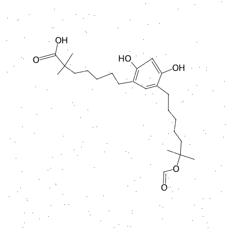 CC(C)(CCCCCc1cc(CCCCCC(C)(C)C(=O)O)c(O)cc1O)OC=O